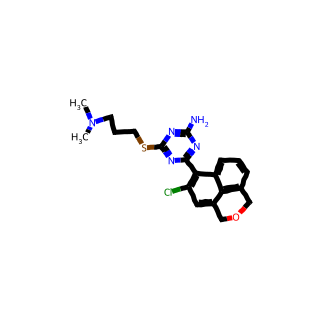 CN(C)CCCSc1nc(N)nc(-c2c(Cl)cc3c4c(cccc24)COC3)n1